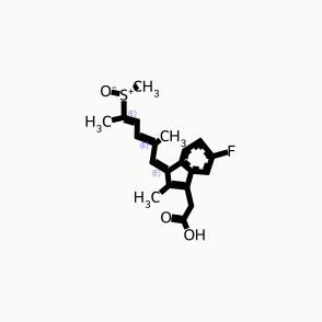 CC1=C(CC(=O)O)c2cc(F)ccc2\C1=C/C(C)=C/C=C(\C)[S+](C)[O-]